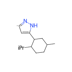 CC1CCC(C(C)C)C(c2c[c]n[nH]2)C1